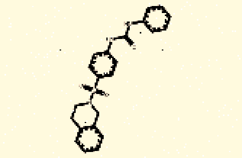 O=C(Nc1ccccc1)Nc1ccc(S(=O)(=O)N2CCc3ccccc3C2)cc1